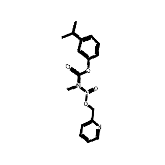 CC(C)c1cccc(OC(=O)N(C)S(=O)OCc2ccccn2)c1